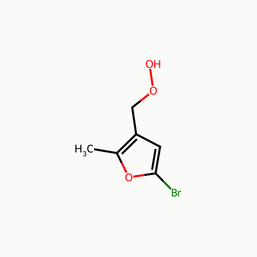 Cc1oc(Br)cc1COO